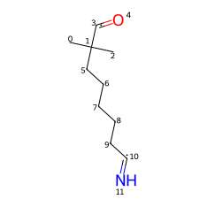 CC(C)([C]=O)CCCCC[C]=N